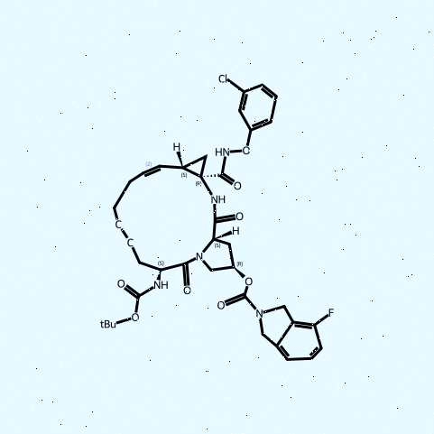 CC(C)(C)OC(=O)N[C@H]1CCCCC/C=C\[C@@H]2C[C@@]2(C(=O)NOc2cccc(Cl)c2)NC(=O)[C@@H]2C[C@@H](OC(=O)N3Cc4cccc(F)c4C3)CN2C1=O